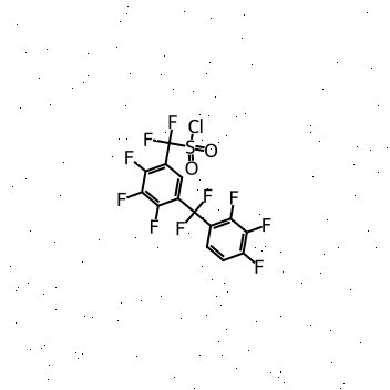 O=S(=O)(Cl)C(F)(F)c1cc(C(F)(F)c2ccc(F)c(F)c2F)c(F)c(F)c1F